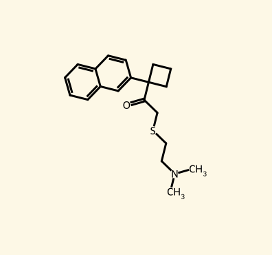 CN(C)CCSCC(=O)C1(c2ccc3ccccc3c2)CCC1